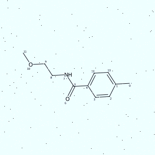 [CH2]c1ccc(C(=O)NCCOC)cc1